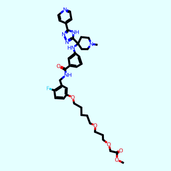 COC(=O)COCCCOCCCCCOc1ccc(F)c(CNC(=O)c2cccc(NC3(c4nnc(-c5ccncc5)[nH]4)CCN(C)CC3)c2)c1